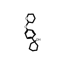 OC1(c2ccc(OC3CCCCO3)cc2)CCCCC1